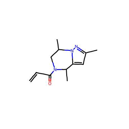 C=CC(=O)N1CC(C)n2nc(C)cc2C1C